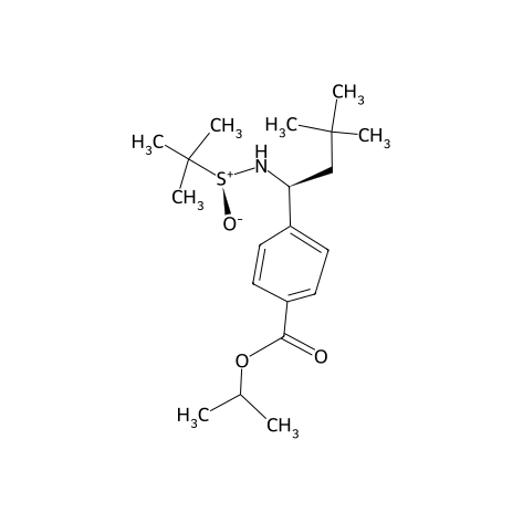 CC(C)OC(=O)c1ccc([C@H](CC(C)(C)C)N[S@@+]([O-])C(C)(C)C)cc1